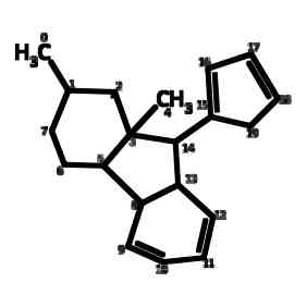 CC1[C]C2(C)C(CC1)C1C=CC=CC1C2C1=CC=CC1